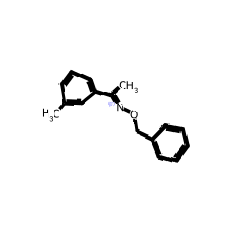 C/C(=N\OCc1ccccc1)c1cc[c]c(C)c1